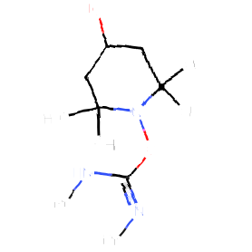 CC(C)/N=C(\NC(C)C)ON1C(C)(C)CC(O)CC1(C)C